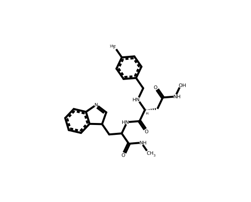 CNC(=O)C(CC1C=Nc2ccccc21)NC(=O)[C@@H](CC(=O)NO)NCc1ccc([18F])cc1